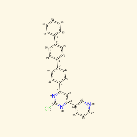 Clc1nc(-c2ccc(-c3ccc(-c4ccccc4)cc3)cc2)cc(-c2cccnc2)n1